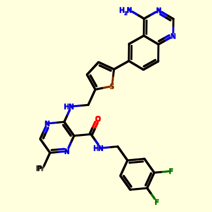 CC(C)c1cnc(NCc2ccc(-c3ccc4ncnc(N)c4c3)s2)c(C(=O)NCc2ccc(F)c(F)c2)n1